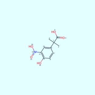 CC(C)(C(=O)O)c1ccc(O)c([N+](=O)O)c1